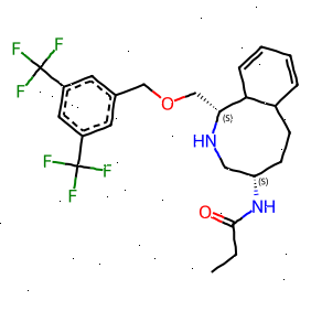 CCC(=O)N[C@H]1CCC2C=CC=CC2[C@@H](COCc2cc(C(F)(F)F)cc(C(F)(F)F)c2)NC1